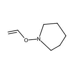 C=CON1CCCCC1